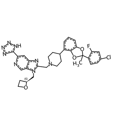 CC1(c2ccc(Cl)cc2F)Oc2cccc(C3CCN(Cc4nc5cc(-c6nnn[nH]6)ncc5n4C[C@@H]4CCO4)CC3)c2O1